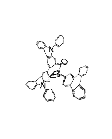 O=C1B(c2ccc3c4ccccc4c4ccccc4c3c2)c2cc3c(cc2-c2cc4c5ccccc5n(-c5ccccc5)c4cc21)c1ccccc1n3-c1ccccc1